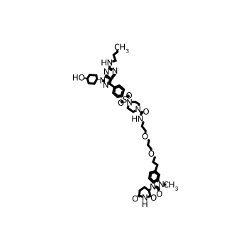 CCCCNc1ncc2c(-c3ccc(S(=O)(=O)N4CCN(C(=O)NCCCOCCCOCCCc5ccc6c(c5)n(C)c(=O)n6C5CCC(=O)NC5=O)CC4)cc3)nn([C@H]3CC[C@H](O)CC3)c2n1